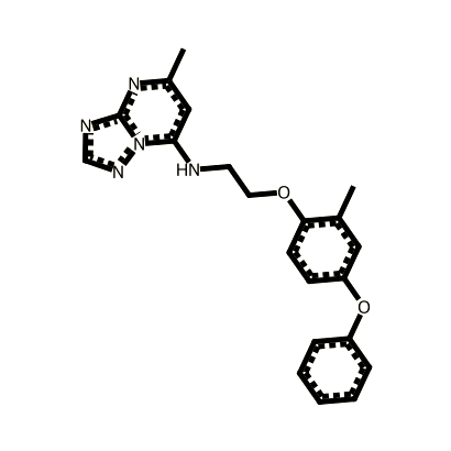 Cc1cc(NCCOc2ccc(Oc3ccccc3)cc2C)n2ncnc2n1